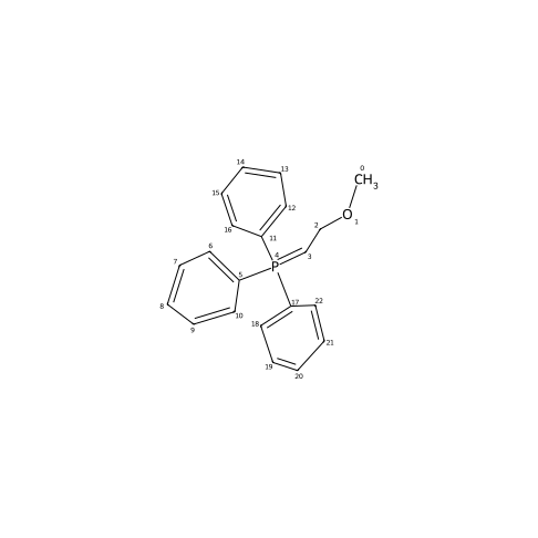 COCC=P(c1ccccc1)(c1ccccc1)c1ccccc1